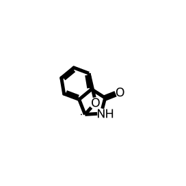 O=C1N[C]2Oc3cccc2c31